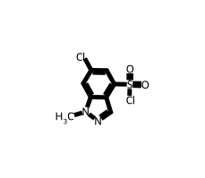 Cn1ncc2c(S(=O)(=O)Cl)cc(Cl)cc21